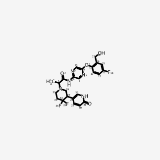 CC(C(=O)Nc1cnc(Oc2ccc(F)cc2CO)cn1)N1CCC(F)(F)C(c2ccc(=O)[nH]c2)C1